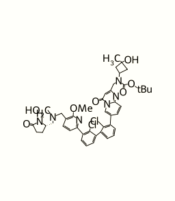 COc1nc(-c2cccc(-c3cccc(-c4ccc5nc(CN(C(=O)OC(C)(C)C)C6CC(C)(O)C6)cc(=O)n5c4)c3Cl)c2Cl)ccc1CN(C[C@@H]1CCC(=O)N1)C(=O)O